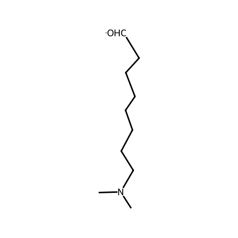 CN(C)CCCCCCC[C]=O